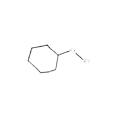 CC(C)OC1[CH]CCCC1